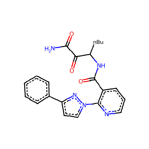 CCCCC(NC(=O)c1cccnc1-n1ccc(-c2ccccc2)n1)C(=O)C(N)=O